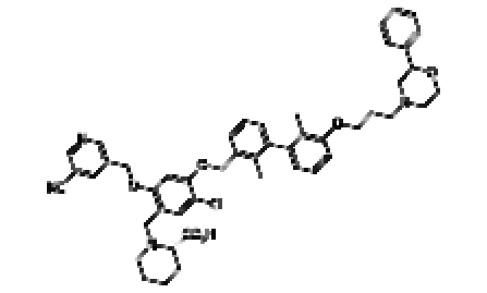 Cc1c(COc2cc(OCc3cncc(C#N)c3)c(CN3CCCC[C@H]3C(=O)O)cc2Cl)cccc1-c1cccc(OCCCN2CCOC(c3ccccc3)C2)c1C